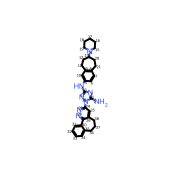 Nc1nc(Nc2ccc3c(c2)CCC(N2CCCCC2)CC3)nn1-c1cc2c(nn1)-c1ccccc1CCC2